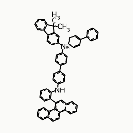 CC1(C)c2ccccc2-c2ccc(N(c3ccc(-c4ccc(Nc5ccccc5-c5cc6ccccc6c6ccc7ccccc7c56)cc4)cc3)[C@H]3C=CC(c4ccccc4)=CC3)cc21